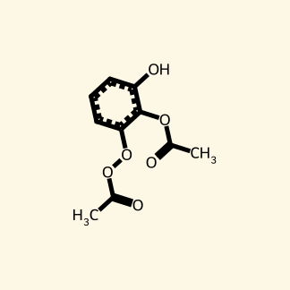 CC(=O)OOc1cccc(O)c1OC(C)=O